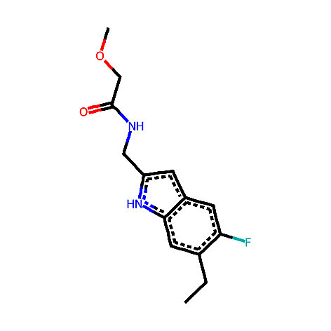 CCc1cc2[nH]c(CNC(=O)COC)cc2cc1F